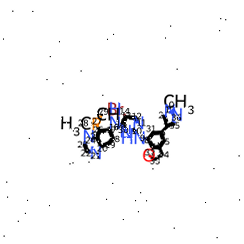 Cn1cc(-c2cc3c(c(Nc4ncc(Br)c(Nc5ccc6nccnc6c5P(C)C)n4)c2)OCC3)cn1